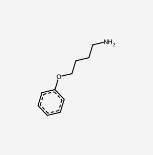 N[CH]CCCOc1ccccc1